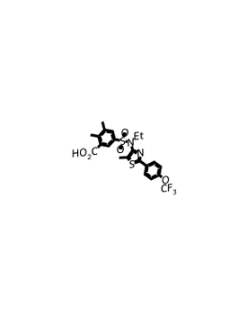 CCN(c1nc(-c2ccc(OC(F)(F)F)cc2)sc1C)S(=O)(=O)c1cc(C)c(C)c(C(=O)O)c1